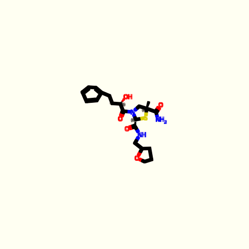 C[C@]1(C(N)=O)CN(C(=O)[C@@H](O)[CH]Cc2ccccc2)[C@@H](C(=O)NCC2CCCO2)S1